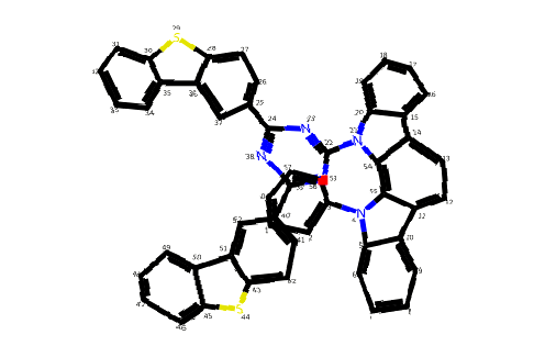 c1ccc(-n2c3ccccc3c3ccc4c5ccccc5n(-c5nc(-c6ccc7sc8ccccc8c7c6)nc(-c6ccc7sc8ccccc8c7c6)n5)c4c32)cc1